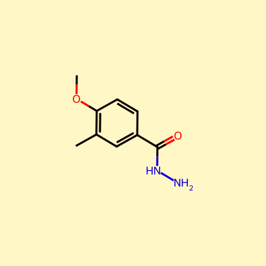 COc1ccc(C(=O)NN)cc1C